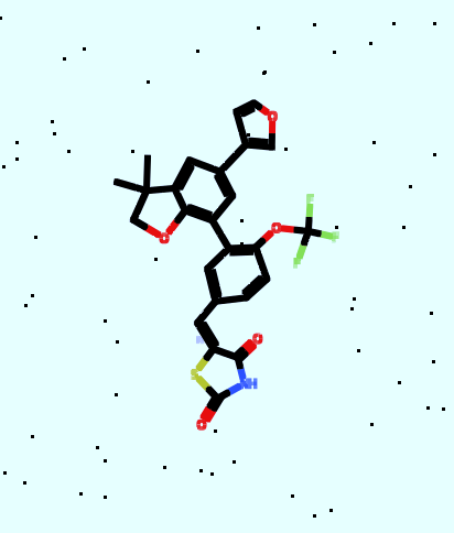 CC1(C)COc2c(-c3cc(/C=C4/SC(=O)NC4=O)ccc3OC(F)(F)F)cc(-c3ccoc3)cc21